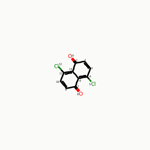 O=C1C=CC(Cl)=C2C(=O)C=CC(Cl)=C12